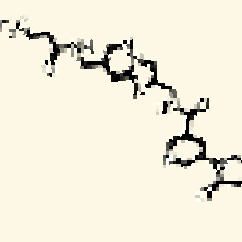 O=C(CCC(F)(F)F)NCc1cnn2cc(CNC(=O)c3cncc(N4CCCC4=O)c3)nc2c1